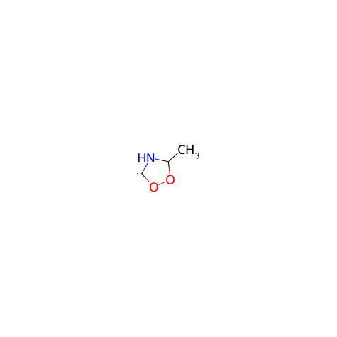 CC1N[CH]OO1